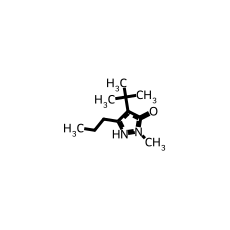 CCCc1[nH]n(C)c(=O)c1C(C)(C)C